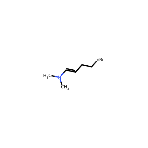 CCCCCCC=CN(C)C